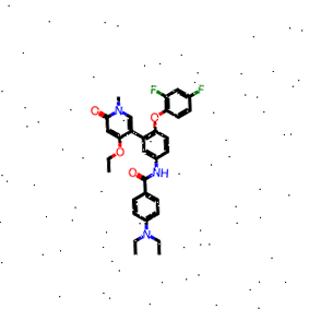 CCOc1cc(=O)n(C)cc1-c1cc(NC(=O)c2ccc(N(CC)CC)cc2)ccc1Oc1ccc(F)cc1F